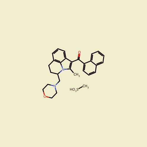 CS(=O)(=O)O.Cc1c(C(=O)c2cccc3ccccc23)c2cccc3c2n1C(CN1CCOCC1)CC3